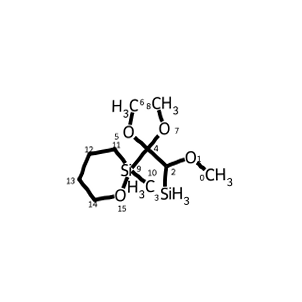 COC([SiH3])C(OC)(OC)[Si]1(C)CCCCO1